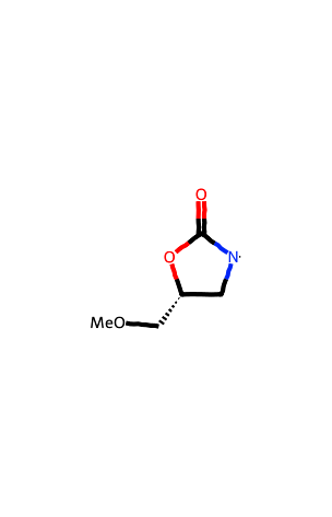 COC[C@H]1C[N]C(=O)O1